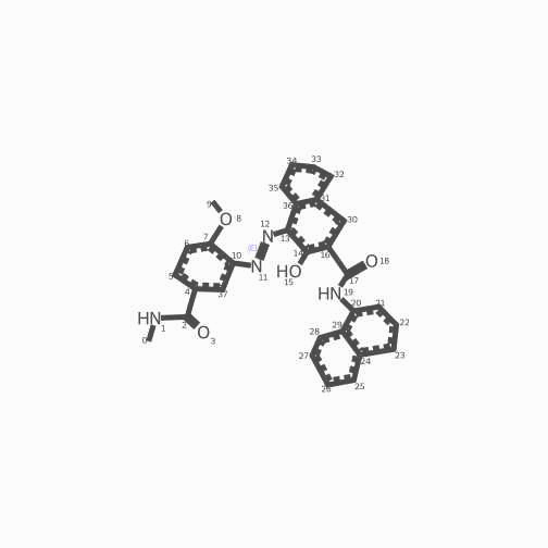 CNC(=O)c1ccc(OC)c(/N=N/c2c(O)c(C(=O)Nc3cccc4ccccc34)cc3ccccc23)c1